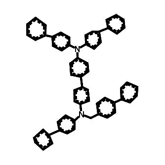 c1ccc(-c2ccc(CN(c3ccc(-c4ccccc4)cc3)c3ccc(-c4ccc(N(c5ccc(-c6ccccc6)cc5)c5ccc(-c6ccccc6)cc5)cc4)cc3)cc2)cc1